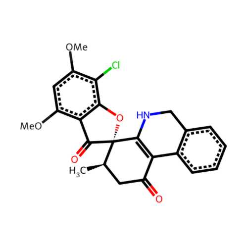 COc1cc(OC)c2c(c1Cl)O[C@]1(C2=O)C2=C(C(=O)C[C@H]1C)c1ccccc1CN2